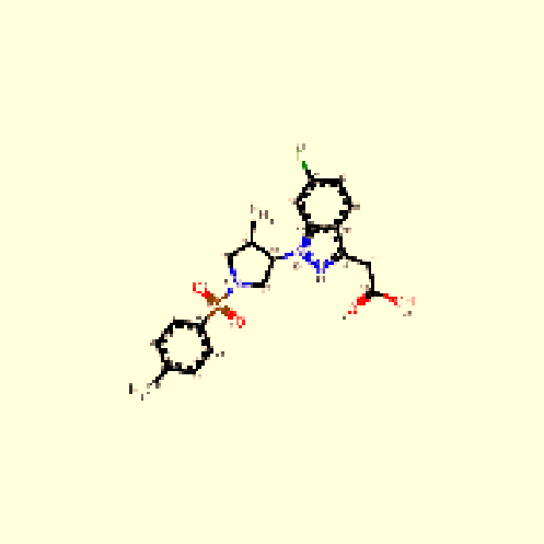 Cc1ccc(S(=O)(=O)N2C[C@@H](C)[C@@H](n3nc(CC(=O)O)c4ccc(F)cc43)C2)cc1